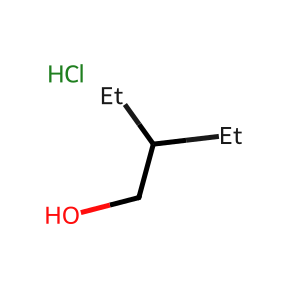 CCC(CC)CO.Cl